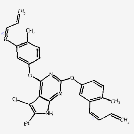 C=C/C=C\c1cc(Oc2nc(Oc3ccc(C)c(/N=C\C=C)c3)c3c(Cl)c(CC)[nH]c3n2)ccc1C